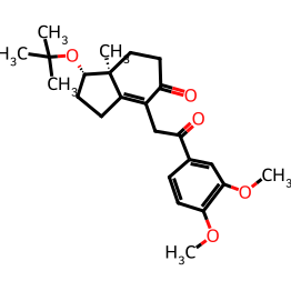 COc1ccc(C(=O)CC2=C3CC[C@H](OC(C)(C)C)[C@@]3(C)CCC2=O)cc1OC